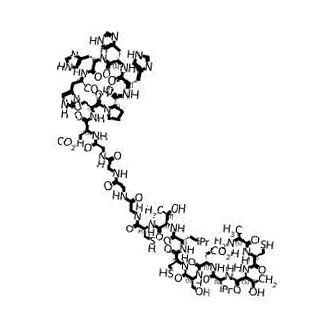 CC(C)C[C@H](NC(=O)[C@H](CS)NC(=O)[C@H](CO)NC(=O)[C@H](CC(=O)O)NC(=O)[C@@H](NC(=O)[C@@H](NC(=O)[C@H](CS)NC(=O)[C@H](C)N)[C@@H](C)O)C(C)C)C(=O)N[C@H](C(=O)N[C@@H](CS)C(=O)NCC(=O)NCC(=O)NCC(=O)NCC(=O)N[C@@H](CC(=O)O)C(=O)N[C@@H](CO)C(=O)N1CCC[C@H]1C(=O)N[C@@H](Cc1c[nH]cn1)C(=O)N[C@@H](Cc1c[nH]cn1)C(=O)N[C@@H](Cc1c[nH]cn1)C(=O)N[C@@H](Cc1c[nH]cn1)C(=O)O)[C@@H](C)O